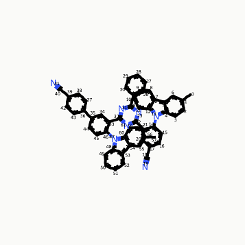 Cc1ccc2c(c1)c1ccccc1n2-c1ccc(C#N)cc1-c1nc(-c2ccccc2)nc(-c2cc(-c3ccc(C#N)cc3)ccc2-n2c3ccccc3c3cc(C)ccc32)n1